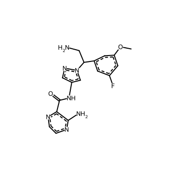 COc1cc(F)cc(C(CN)n2cc(NC(=O)c3nccnc3N)cn2)c1